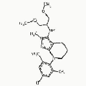 COCC(COC)Nc1c2c(nn1C)N(c1c(C)cc(Cl)cc1C)CCC2